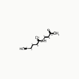 C#CCCCC(=O)NCCC(C)=O